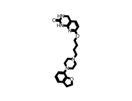 O=C1NCc2ccc(OCCCCN3CCN(c4cccc5c4OCC5)CC3)nc2N1